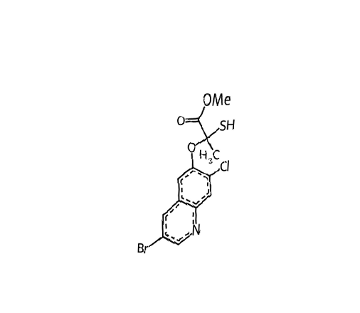 COC(=O)C(C)(S)Oc1cc2cc(Br)cnc2cc1Cl